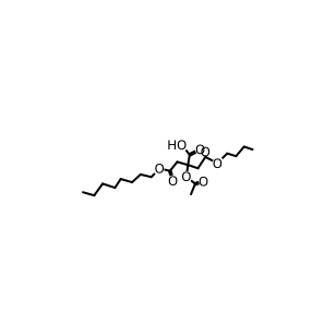 CCCCCCCCOC(=O)CC(CC(=O)OCCCC)(OC(C)=O)C(=O)O